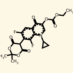 CCOC(=O)Oc1cn(C2CC2)c2c(F)c(C3C(=O)OC(C)(C)OC3=O)c(F)cc2c1=O